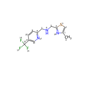 Cc1csc(CNCc2ccc(C(F)(F)F)cn2)n1